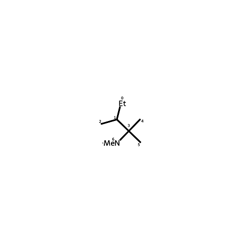 CCC(C)C(C)(C)[N]C